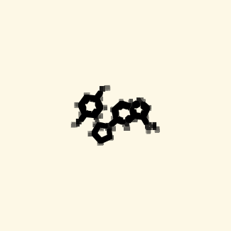 Cc1cnn2ccc(N3CCC[C@@H]3c3cc(F)ccc3F)nc12